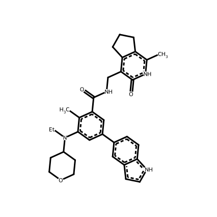 CCN(c1cc(-c2ccc3[nH]ccc3c2)cc(C(=O)NCc2c3c(c(C)[nH]c2=O)CCC3)c1C)C1CCOCC1